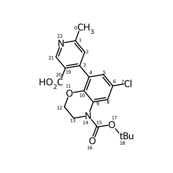 Cc1cc(-c2cc(Cl)cc3c2OCCN3C(=O)OC(C)(C)C)c(C(=O)O)cn1